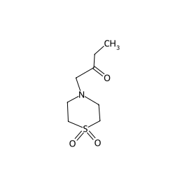 CCC(=O)CN1CCS(=O)(=O)CC1